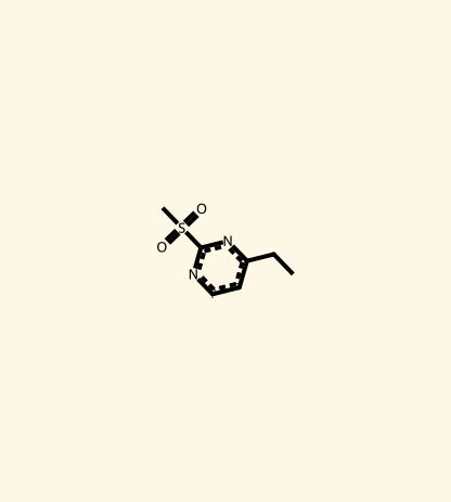 CCc1c[c]nc(S(C)(=O)=O)n1